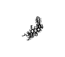 CCCSN(c1cc(F)c(F)c(C(=O)c2ccc3ncc(N4CCOCC4)nc3c2)c1F)[S+]([O-])CCC